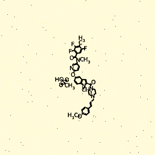 COc1ccc(C=CCN2CCN(C(=O)c3cc4cc(Oc5ccc(N(C)C(=O)c6cc(F)c(C)c(F)c6F)cn5)ccc4n3C)CC2)cc1.CS(=O)(=O)O